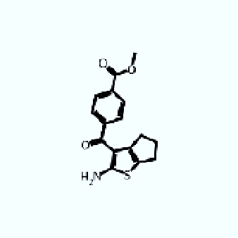 COC(=O)c1ccc(C(=O)c2c(N)sc3c2CCC3)cc1